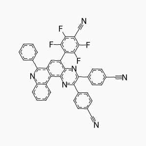 N#Cc1ccc(-c2nc3c(-c4c(F)c(F)c(C#N)c(F)c4F)cc4c(-c5ccccc5)nc5ccccc5c4c3nc2-c2ccc(C#N)cc2)cc1